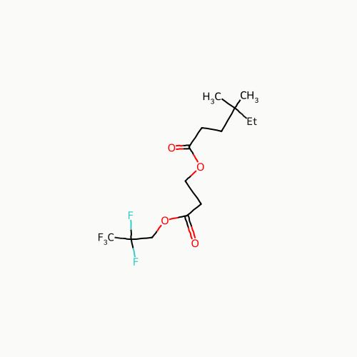 CCC(C)(C)CCC(=O)OCCC(=O)OCC(F)(F)C(F)(F)F